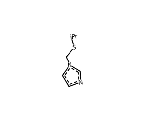 CC(C)SCn1ccnc1